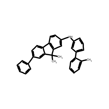 Cc1ccccc1-c1cccc(Nc2ccc3c(c2)C(C)(C)c2cc(-c4ccccc4)ccc2-3)c1